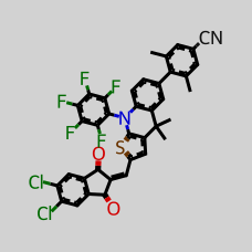 Cc1cc(C#N)cc(C)c1-c1ccc2c(c1)C(C)(C)c1cc(C=C3C(=O)c4cc(Cl)c(Cl)cc4C3=O)sc1N2c1c(F)c(F)c(F)c(F)c1F